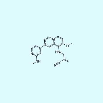 C=C(C#N)CNc1c(OC)ccc2ccc(-c3ccnc(NC)c3)cc12